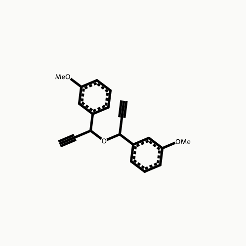 C#CC(OC(C#C)c1cccc(OC)c1)c1cccc(OC)c1